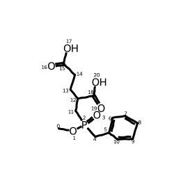 COP(=O)(Cc1ccccc1)CC(CCC(=O)O)C(=O)O